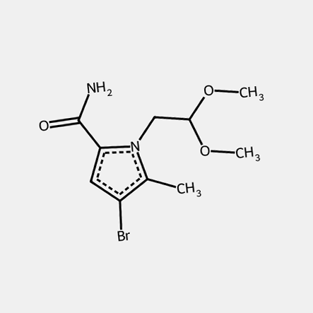 COC(Cn1c(C(N)=O)cc(Br)c1C)OC